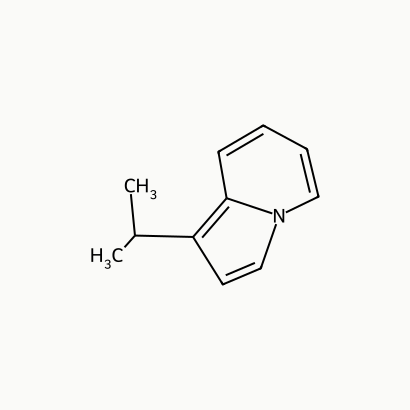 CC(C)c1ccn2ccccc12